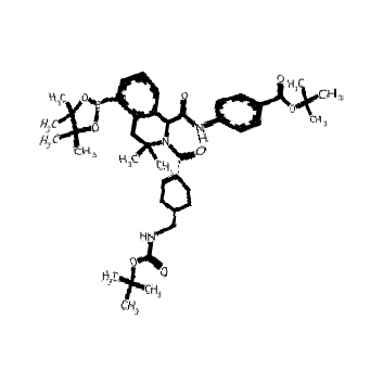 CC(C)(C)OC(=O)NC[C@H]1CC[C@H](C(=O)N2C(C(=O)Nc3ccc(C(=O)OC(C)(C)C)cc3)c3cccc(B4OC(C)(C)C(C)(C)O4)c3CC2(C)C)CC1